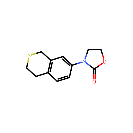 O=C1OCCN1c1ccc2c(c1)CSCC2